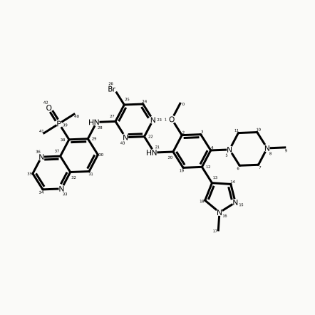 COc1cc(N2CCN(C)CC2)c(-c2cnn(C)c2)cc1Nc1ncc(Br)c(Nc2ccc3nccnc3c2P(C)(C)=O)n1